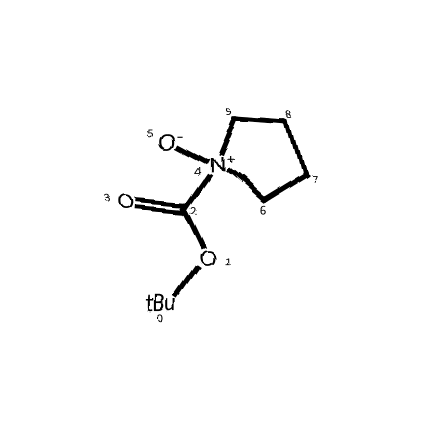 CC(C)(C)OC(=O)[N+]1([O-])CCCC1